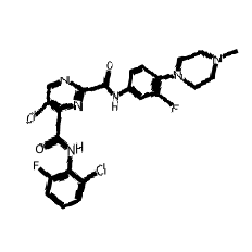 CN1CCN(c2ccc(NC(=O)c3ncc(Cl)c(C(=O)Nc4c(F)cccc4Cl)n3)cc2F)CC1